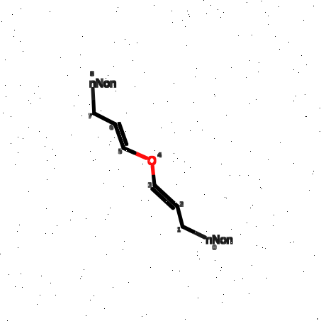 CCCCCCCCCCC=COC=CCCCCCCCCCC